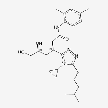 Cc1ccc(NC(=O)C[C@H](C[C@H](O)CO)c2nnc(CCCC(C)C)n2C2CC2)c(C)c1